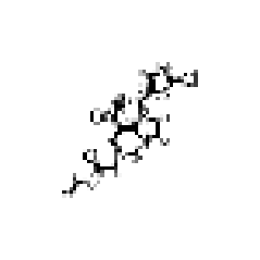 CCOC(=O)CN1CC([N+](=O)[O-])=C2N(Cc3cnc(Cl)s3)CCN2C1